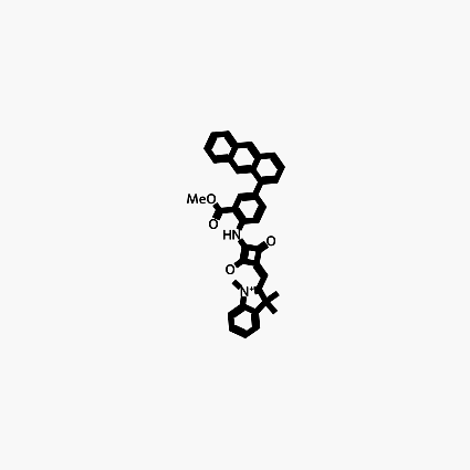 COC(=O)c1cc(-c2cccc3cc4ccccc4cc23)ccc1NC1=C([O-])C(=CC2=[N+](C)c3ccccc3C2(C)C)C1=O